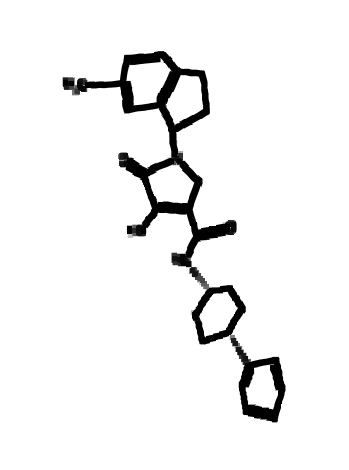 Cc1ccc2c(c1)C(N1CC(C(=O)N[C@H]3CC[C@@H](c4ccccc4)CC3)=C(O)C1=O)CC2